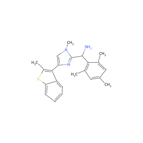 Cc1cc(C)c(C(N)c2nc(-c3c(C)sc4ccccc34)cn2C)c(C)c1